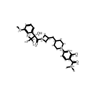 COc1cccc([C@@](O)(C(=O)N2CC(CC3CCN(c4ccc(C(=O)N(C)C)c(Cl)n4)CC3)C2)C(F)(F)F)c1